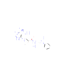 O=C(NCCNc1ccccc1)C1=CN(c2ncnc3nc[nH]c23)CCS1